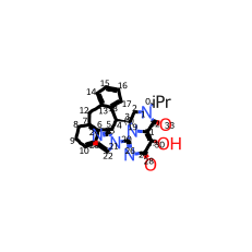 CC(C)N1C[C@H](C2CC3=C(CCC=C3)Cc3ccccc32)n2c(-n3ccnc3)nc(=O)c(O)c2C1=O